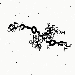 COC(=O)NC(C(=O)NC(Cc1ccc(C#Cc2ccc(N3CCN4CCOC[C@H]4C3)nc2)cc1)C(O)CN(Cc1c(F)cc(-c2ccn(C(F)F)n2)cc1F)NC(=O)C(NC(=O)O)C(C)(C)C(F)(F)F)C(C)(C)C(F)(F)F